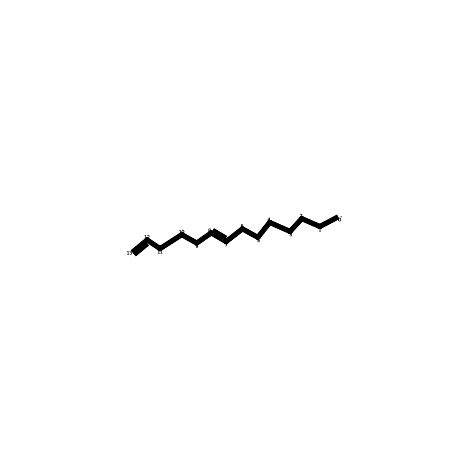 [CH2]CCCCCCC=CCCCC=C